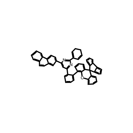 C1=CC(c2nc(-c3ccc4c(ccc5ccccc54)c3)cc(-c3ccccc3-c3cccc4c3Oc3ccccc3C43c4ccccc4-c4ccccc43)n2)=CCC1